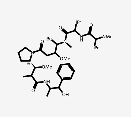 CCC(C)C(C(CC(=O)N1CCC[C@H]1C(OC)C(C)C(=O)NC(C)C(O)c1ccccc1)OC)N(C)C(=O)C(NC(=O)C(NC)C(C)C)C(C)C